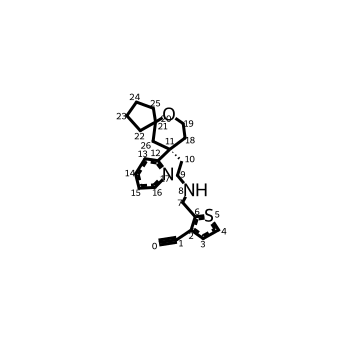 C#Cc1ccsc1CNCC[C@@]1(c2ccccn2)CCOC2(CCCC2)C1